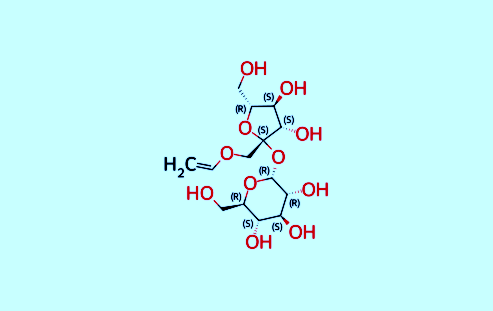 C=COC[C@@]1(O[C@H]2O[C@H](CO)[C@@H](O)[C@H](O)[C@H]2O)O[C@H](CO)[C@@H](O)[C@@H]1O